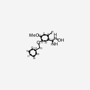 COc1cc(I)c(C(=N)NO)cc1OCc1ccccc1